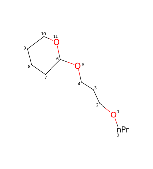 CCCOCCCOC1CCCCO1